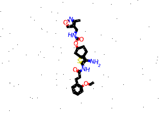 CCOc1ccccc1CCC(=O)Nc1sc2c(c1N)CCC(OC(=O)NCc1conc1C)C2